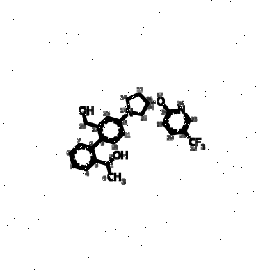 CC(O)c1ccccc1-c1ccc(N2CC[C@H](Oc3ccc(C(F)(F)F)cn3)C2)cc1CO